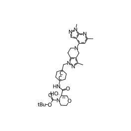 Cc1cc(N2CCc3c(c(C)nn3CC34CCC(NC(=O)[C@@]5(O)COCCN5C(=O)OC(C)(C)C)(CC3)CC4)C2)c2cnn(C)c2n1